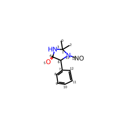 CC1(C)NC(=O)[C](c2ccccc2)N1N=O